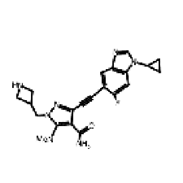 CNc1c(C(N)=O)c(C#Cc2cc3ncn(C4CC4)c3cc2F)nn1CC1CNC1